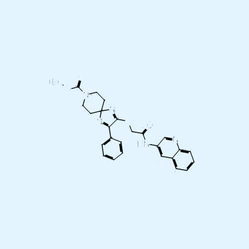 CC(C)(C)OC(=O)N1CCC2(CC1)N=C(SCC(=O)Nc1cnc3ccccc3c1)C(c1ccccc1)=N2